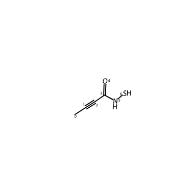 CC#CC(=O)NS